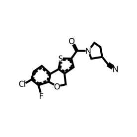 N#CC1CCN(C(=O)c2cc3c(s2)-c2ccc(Cl)c(F)c2OC3)C1